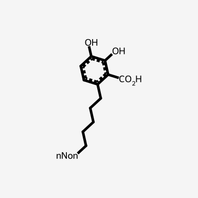 CCCCCCCCCCCCCCc1ccc(O)c(O)c1C(=O)O